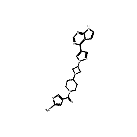 Cc1cc(C(=O)N2CCC(N3C[C](n4cc(-c5ncnc6[nH]ccc56)cn4)C3)CC2)cs1